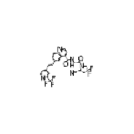 N#CC1CC(F)(F)CN1C(=O)CNC(=O)c1ccnc2ccc(/C=C/c3ccnc(C(F)(F)F)c3)cc12